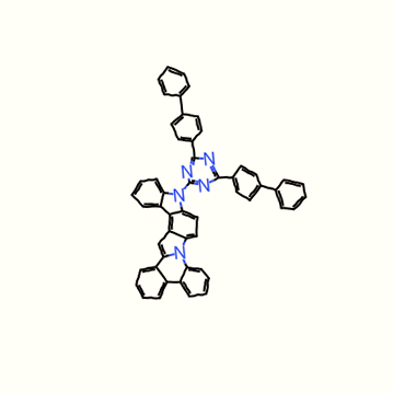 c1ccc(-c2ccc(-c3nc(-c4ccc(-c5ccccc5)cc4)nc(-n4c5ccccc5c5c6cc7c8ccccc8c8ccccc8n7c6ccc54)n3)cc2)cc1